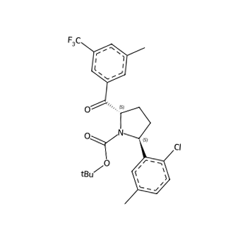 Cc1cc(C(=O)[C@@H]2CC[C@@H](c3cc(C)ccc3Cl)N2C(=O)OC(C)(C)C)cc(C(F)(F)F)c1